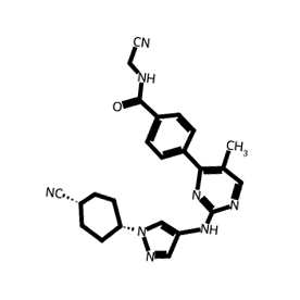 Cc1cnc(Nc2cnn([C@H]3CC[C@@H](C#N)CC3)c2)nc1-c1ccc(C(=O)NCC#N)cc1